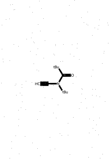 C#CN(C(=O)C(C)(C)C)C(C)(C)C